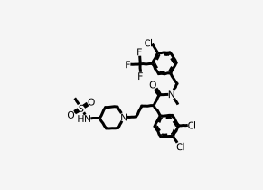 CN(Cc1ccc(Cl)c(C(F)(F)F)c1)C(=O)C(CCN1CCC(NS(C)(=O)=O)CC1)c1ccc(Cl)c(Cl)c1